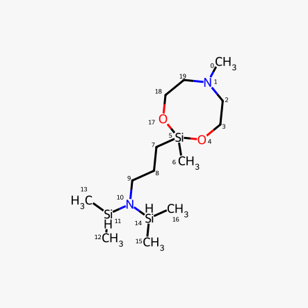 CN1CCO[Si](C)(CCCN([SiH](C)C)[SiH](C)C)OCC1